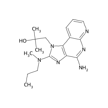 CCCN(C)c1nc2c(N)nc3ncccc3c2n1CC(C)(C)O